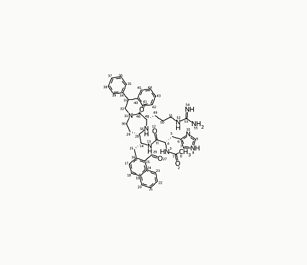 CC(=O)N[C@@H](Cc1c[nH]cn1)C(=O)N[C@H](Cc1ccc2ccccc2c1C=O)[C@@H]1CCN(CC(c2ccccc2)c2ccccc2)C(=O)[C@H](CCCNC(=N)N)N1